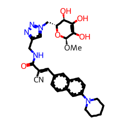 CO[C@H]1O[C@H](Cn2cc(CNC(=O)/C(C#N)=C/c3ccc4cc(N5CCCCC5)ccc4c3)nn2)[C@@H](O)C(O)=C1O